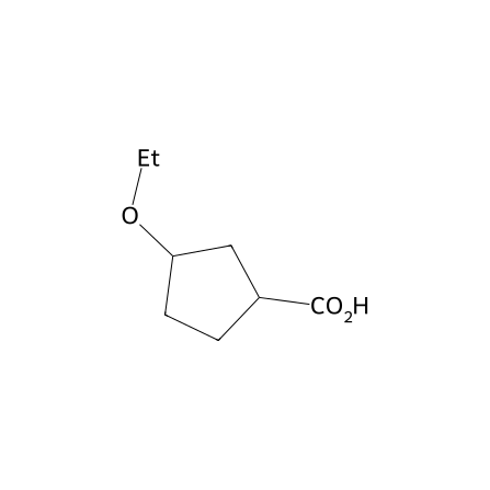 CCOC1CCC(C(=O)O)C1